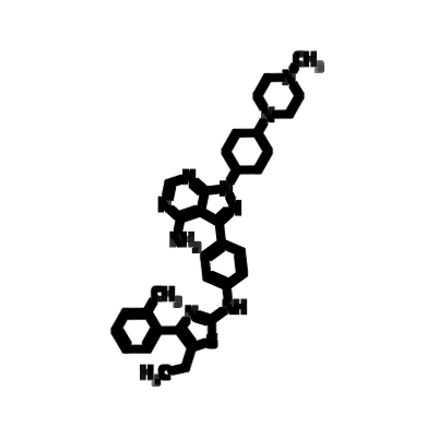 CCc1sc(Nc2ccc(-c3nn(C4CCC(N5CCN(C)CC5)CC4)c4ncnc(N)c34)cc2)nc1-c1ccccc1C